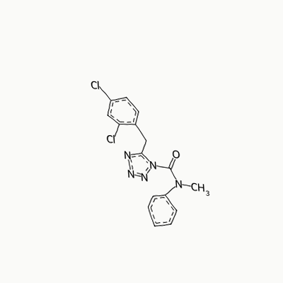 CN(C(=O)n1nnnc1Cc1ccc(Cl)cc1Cl)c1ccccc1